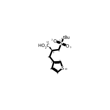 CC(C)(C)S(=O)(=O)C[C@@H](Cc1ccsc1)C(=O)O